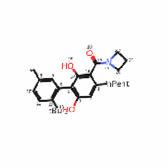 CCCCCc1cc(O)c(-c2cc(C)ccc2C(C)(C)C)c(O)c1C(=O)N1CCC1